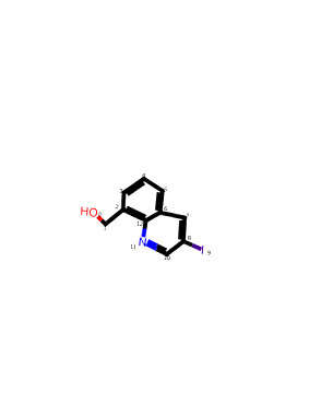 OCc1cccc2cc(I)cnc12